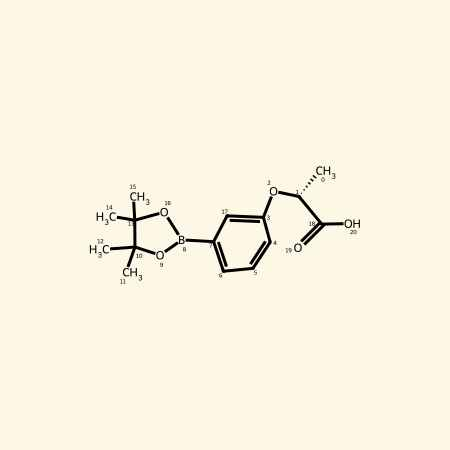 C[C@@H](Oc1cccc(B2OC(C)(C)C(C)(C)O2)c1)C(=O)O